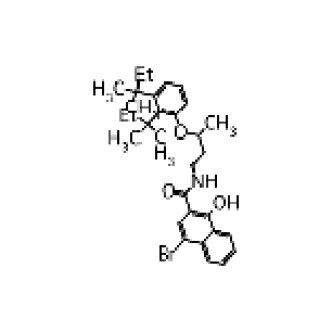 CCC(C)(C)c1cccc(OC(C)CCNC(=O)c2cc(Br)c3ccccc3c2O)c1C(C)(C)CC